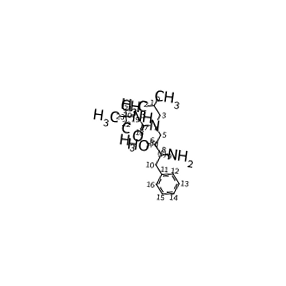 CC(C)CN(C[C@@H](O)[C@@H](N)Cc1ccccc1)C(=O)NC(C)(C)C